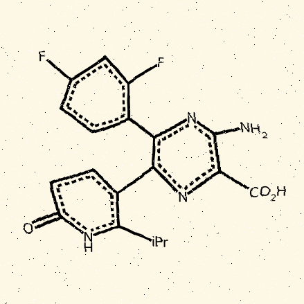 CC(C)c1[nH]c(=O)ccc1-c1nc(C(=O)O)c(N)nc1-c1ccc(F)cc1F